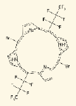 FC(F)(F)C(F)(F)C(F)(F)c1c2nc(c(Br)c3ccc([nH]3)c(C(F)(F)C(F)(F)C(F)(F)F)c3nc(c(Br)c4ccc1[nH]4)C=C3)C=C2